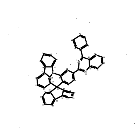 c1ccc(-c2nc(-c3ccc4c(c3)-n3c5ccccc5c5cccc(c53)C43c4ccccc4-c4ccccc43)nc3ccccc23)cc1